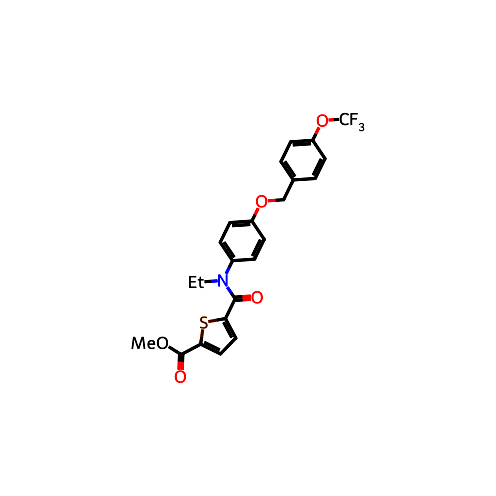 CCN(C(=O)c1ccc(C(=O)OC)s1)c1ccc(OCc2ccc(OC(F)(F)F)cc2)cc1